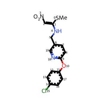 CSC(=C[N+](=O)[O-])NCc1ccc(Oc2ccc(Cl)cc2)nc1